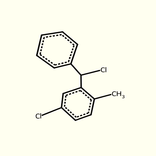 Cc1ccc(Cl)cc1C(Cl)c1ccccc1